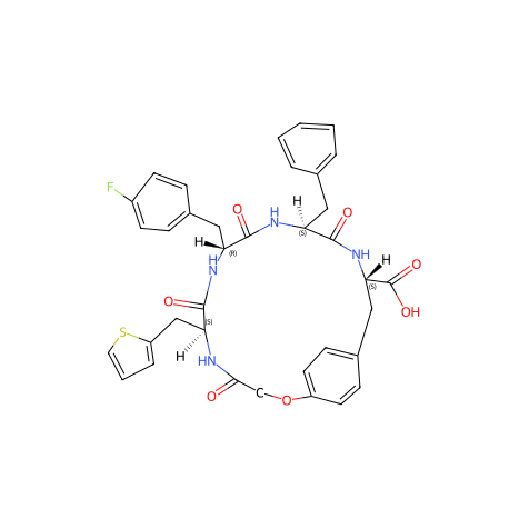 O=C1COc2ccc(cc2)C[C@@H](C(=O)O)NC(=O)[C@H](Cc2ccccc2)NC(=O)[C@@H](Cc2ccc(F)cc2)NC(=O)[C@H](Cc2cccs2)N1